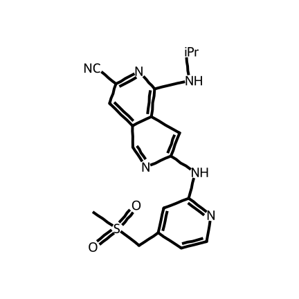 CC(C)Nc1nc(C#N)cc2cnc(Nc3cc(CS(C)(=O)=O)ccn3)cc12